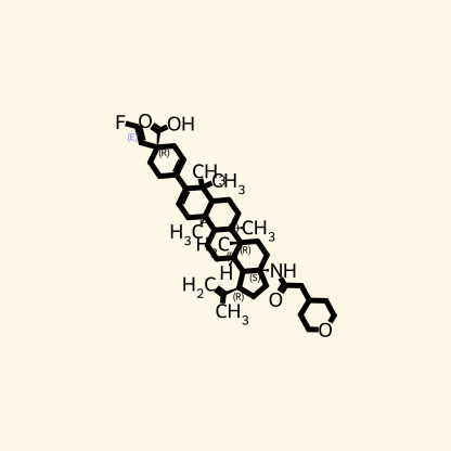 C=C(C)[C@@H]1CC[C@]2(NC(=O)CC3CCOCC3)CC[C@]3(C)[C@H](CCC4[C@@]5(C)CC=C(C6=CC[C@](/C=C/F)(C(=O)O)CC6)C(C)(C)C5CC[C@]43C)C12